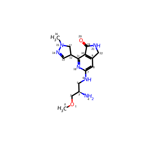 COC[C@H](N)CNc1cc2c(c(C3C=NN(C)C3)n1)C(=O)NC2